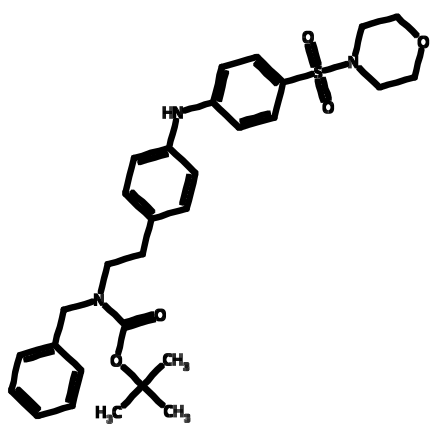 CC(C)(C)OC(=O)N(CCc1ccc(Nc2ccc(S(=O)(=O)N3CCOCC3)cc2)cc1)Cc1ccccc1